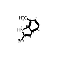 Cc1cccc2cc(Br)[nH]c12